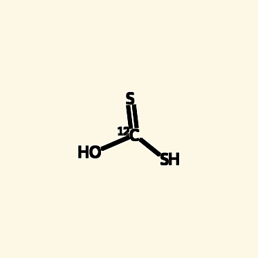 O[12C](=S)S